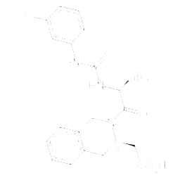 CCCC[C@H](NC(=O)Nc1cccc(C(F)(F)F)c1)C(=O)N1Cc2ccccc2C[C@@H]1CC(=O)O